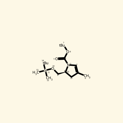 CC1=CN(C(=O)OC(C)(C)C)[C@H](CO[Si](C)(C)C(C)(C)C)C1